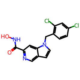 O=C(NO)c1cc2c(ccn2Cc2ccc(Cl)cc2Cl)cn1